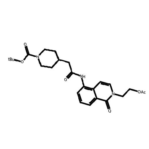 CC(=O)OCCn1ccc2c(NC(=O)CC3CCN(C(=O)OC(C)(C)C)CC3)cccc2c1=O